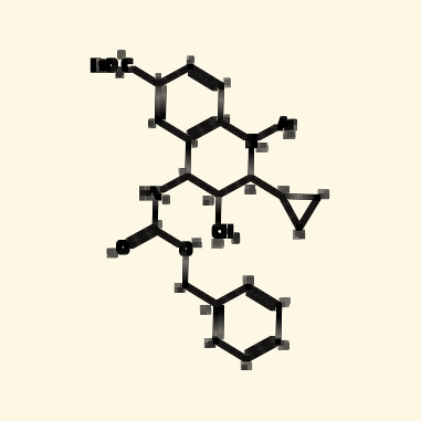 CCOC(=O)c1ccc2c(c1)C(NC(=O)OCc1ccccc1)C(C)C(C1CC1)N2C(C)=O